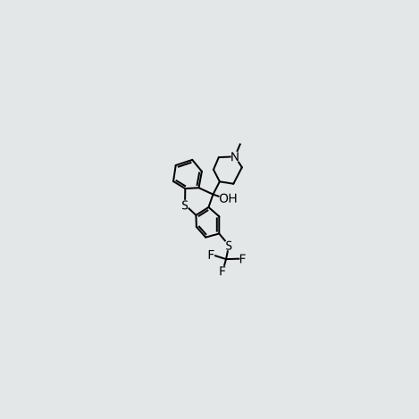 CN1CCC(C2(O)c3ccccc3Sc3ccc(SC(F)(F)F)cc32)CC1